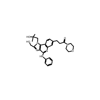 CC(C)(O)Cn1c(CO)nc2c(Nc3ccccc3)nc3cc(CCC(=O)N4CCOCC4)ccc3c21